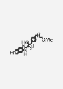 COCCN(C)Cc1ccc(-c2nn(C)c(-c3nc4cc5c(cc4[nH]3)CNC5)c2O)cc1